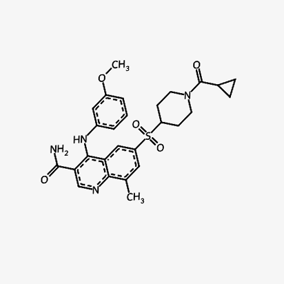 COc1cccc(Nc2c(C(N)=O)cnc3c(C)cc(S(=O)(=O)C4CCN(C(=O)C5CC5)CC4)cc23)c1